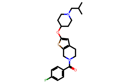 CC(C)CN1CCC(Oc2cc3c(s2)CN(C(=O)c2ccc(F)cc2)CC3)CC1